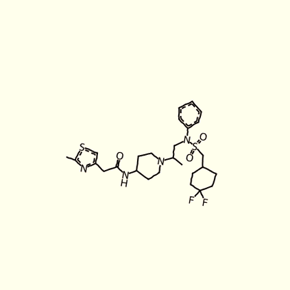 Cc1nc(CC(=O)NC2CCN(C(C)CN(c3ccccc3)S(=O)(=O)CC3CCC(F)(F)CC3)CC2)cs1